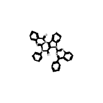 O=c1c2c(c3ccccc3n2-c2nc(-c3ccccc3)c3ccccc3n2)n2c(=O)c3ccccc3nc2n1-c1ccccc1